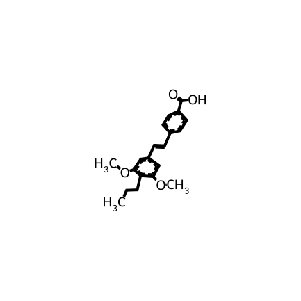 CCCc1c(OC)cc(/C=C/c2ccc(C(=O)O)cc2)cc1OC